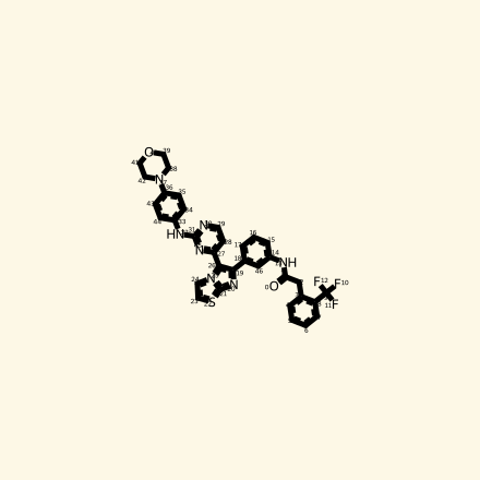 O=C(Cc1ccccc1C(F)(F)F)Nc1cccc(-c2nc3sccn3c2-c2ccnc(Nc3ccc(N4CCOCC4)cc3)n2)c1